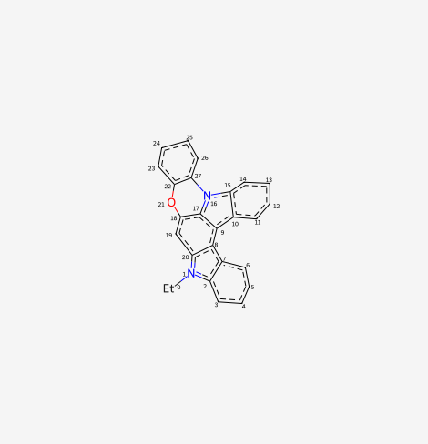 CCn1c2ccccc2c2c3c4ccccc4n4c3c(cc21)Oc1ccccc1-4